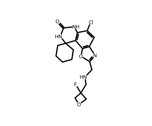 O=C1Nc2c(Cl)cc3nc(CNCC4(F)COC4)oc3c2C2(CCCCC2)N1